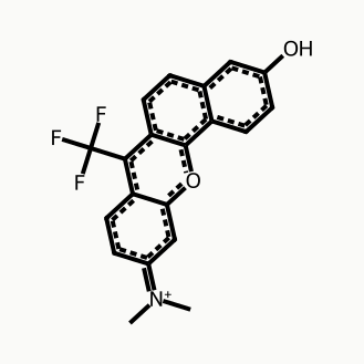 C[N+](C)=c1ccc2c(C(F)(F)F)c3ccc4cc(O)ccc4c3oc-2c1